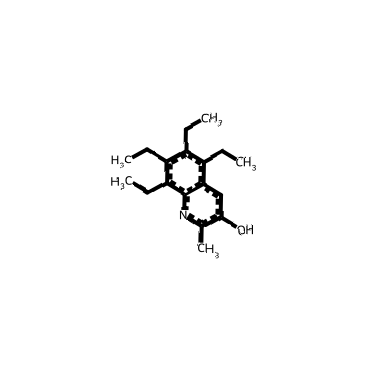 CCc1c(CC)c(CC)c2nc(C)c(O)cc2c1CC